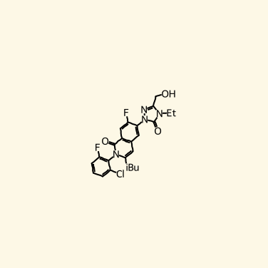 CCC(C)c1cc2cc(-n3nc(CO)n(CC)c3=O)c(F)cc2c(=O)n1-c1c(F)cccc1Cl